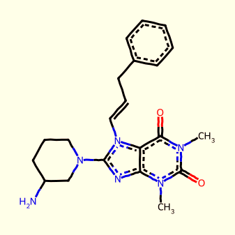 Cn1c(=O)c2c(nc(N3CCCC(N)C3)n2C=CCc2ccccc2)n(C)c1=O